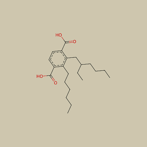 CCCCCCc1c(C(=O)O)ccc(C(=O)O)c1CC(CC)CCCC